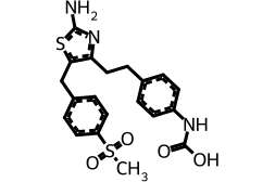 CS(=O)(=O)c1ccc(Cc2sc(N)nc2CCc2ccc(NC(=O)O)cc2)cc1